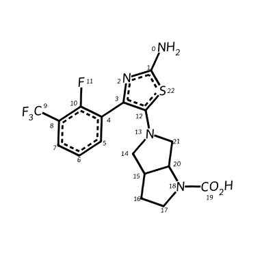 Nc1nc(-c2cccc(C(F)(F)F)c2F)c(N2CC3CCN(C(=O)O)C3C2)s1